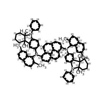 Cc1ccc2ccc(C)c(N(c3ccc4c(c3)C3(C)CCCCC3(C)N4c3ccccc3)c3ccc4ccc5c(N(c6ccc7c(c6)C6(C)CCCCC6(C)N7c6ccccc6)c6c(C)ccc7ccc(C)cc67)ccc6ccc3c4c65)c2c1